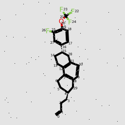 C=CCC[C@H]1CCc2c(ccc3c2CC[C@H](c2ccc(OC(F)(F)F)c(F)c2)C3)C1